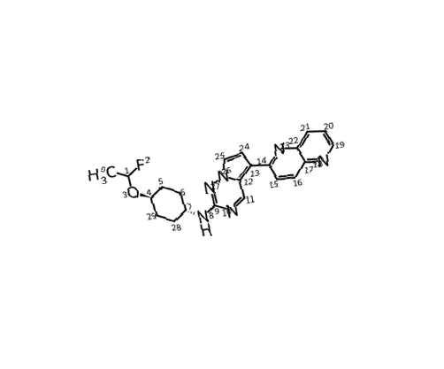 CC(F)O[C@H]1CC[C@H](Nc2ncc3c(-c4ccc5ncccc5n4)ccn3n2)CC1